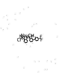 CN(c1cccc(-c2ccc(C(F)F)cc2)c1F)c1nc2nnc(Cl)n2c2ccccc12